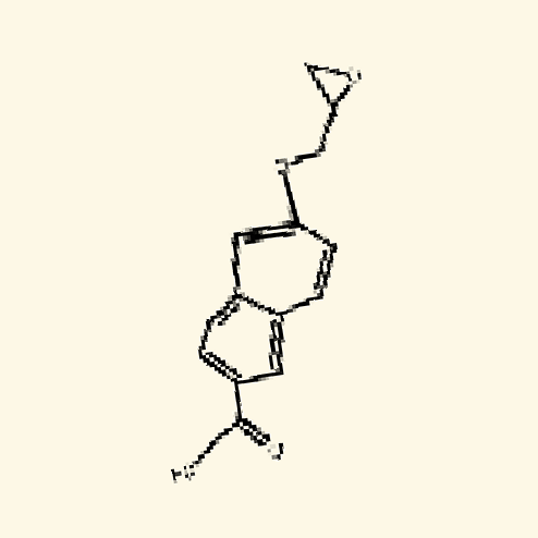 O=C(O)c1ccc2cc(OCC3CO3)ccc2c1